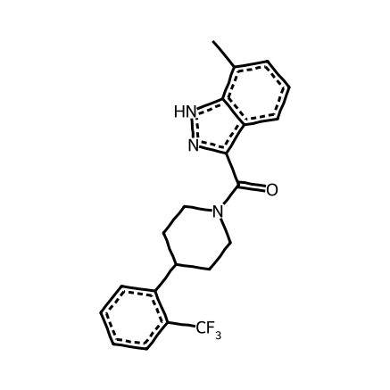 Cc1cccc2c(C(=O)N3CCC(c4ccccc4C(F)(F)F)CC3)n[nH]c12